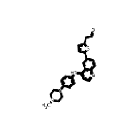 CN1CCN(c2ccc(Nc3ccnc4ccc(-c5ccc(CC=O)s5)cc34)cc2)CC1